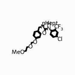 CCCCCCCN(Cc1ccc(OCOCCOC)cc1)C(=O)Nc1ccc(Cl)cc1C(F)(F)F